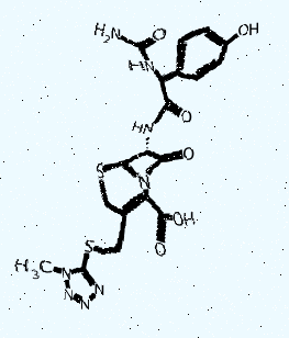 Cn1nnnc1SCC1=C(C(=O)O)N2C(=O)[C@@H](NC(=O)C(NC(N)=O)c3ccc(O)cc3)C2SC1